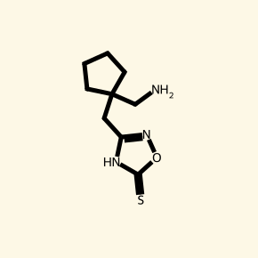 NCC1(Cc2noc(=S)[nH]2)CCCC1